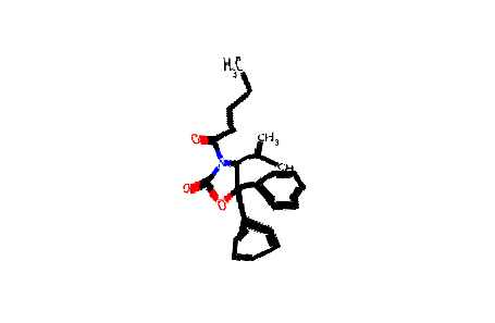 CCCCC(=O)N1C(=O)OC(c2ccccc2)(c2ccccc2)C1C(C)C